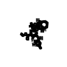 CCOC(=O)c1nc(N(C)C2C[C@H]3CCC[C@@H](C2)N3C(=O)OC(C)(C)C)nc(Nc2cc(C)[nH]n2)c1F